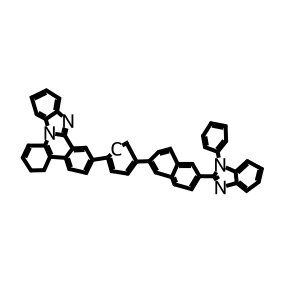 C1=Cc2c(c3ccc(C4=CC=C(c5ccc6cc(-c7nc8ccccc8n7-c7ccccc7)ccc6c5)CC4)cc3c3nc4ccccc4n23)CC1